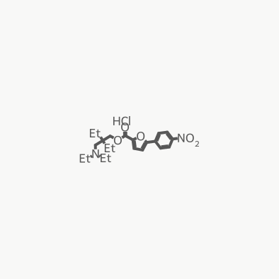 CCN(CC)CC(CC)(CC)COC(=O)c1ccc(-c2ccc([N+](=O)[O-])cc2)o1.Cl